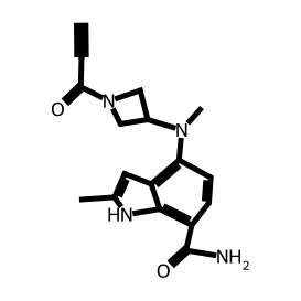 C#CC(=O)N1CC(N(C)c2ccc(C(N)=O)c3[nH]c(C)cc23)C1